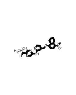 CN(C)C(=O)c1cnc(Nc2cc(COc3ccc([N+](=O)[O-])c4ccccc34)ccn2)cn1